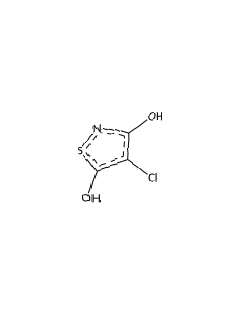 Oc1nsc(O)c1Cl